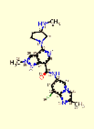 CNC1CCN(c2ncc(C(=O)Nc3cc(F)c4nc(C)cn4c3)c3nn(C)cc23)C1